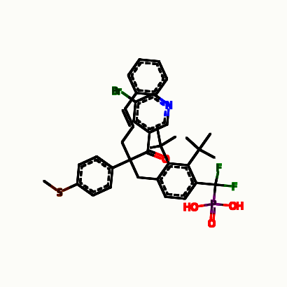 CSc1ccc(C(CC=Cc2ccccc2)(Cc2ccc(C(F)(F)P(=O)(O)O)c(C(C)(C)C)c2C(C)(C)C)C(=O)c2cncc(Br)c2)cc1